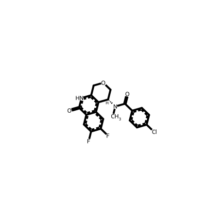 CN(C(=O)c1ccc(Cl)cc1)[C@H]1COCc2[nH]c(=O)c3cc(F)c(F)cc3c21